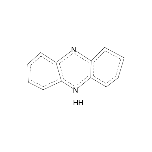 [HH].c1ccc2nc3ccccc3nc2c1